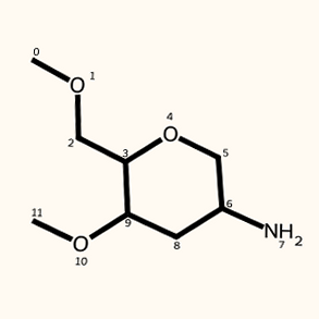 COCC1OCC(N)CC1OC